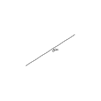 CCCCCCCCCCCCCCCCCCCCCCCCCCCCCCC(CCCCCCCCCCCCCCCCCCCCCCCC)C(=O)O